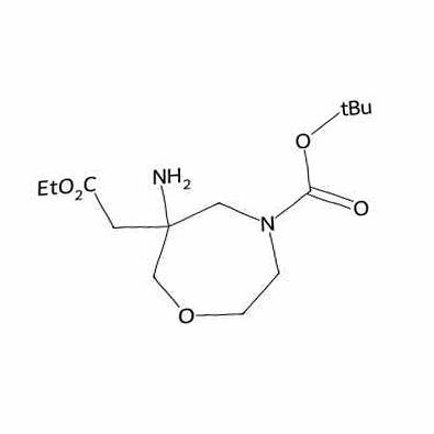 CCOC(=O)CC1(N)COCCN(C(=O)OC(C)(C)C)C1